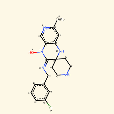 COc1cc2c(cn1)N(O)/C(=N/Cc1cccc(Cl)c1)C1(CCNCC1)N2